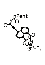 CCCCCC(=O)SC(=O)C#Cc1ccc2c3c(cccc13)C(=O)N(OS(=O)(=O)C(F)(F)F)C2=O